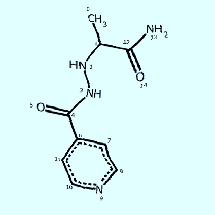 CC(NNC(=O)c1ccncc1)C(N)=O